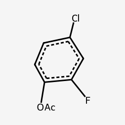 CC(=O)Oc1ccc(Cl)cc1F